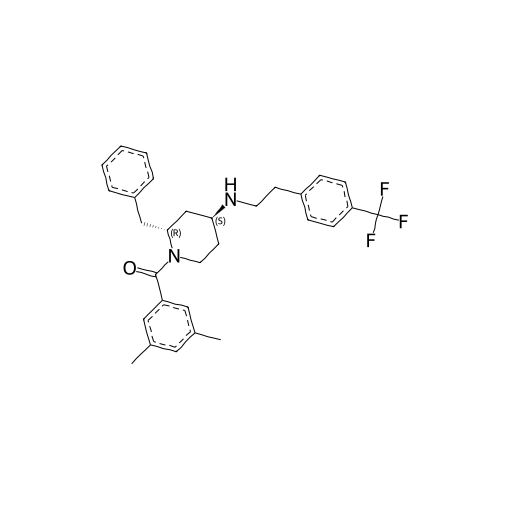 Cc1cc(C)cc(C(=O)N2CC[C@H](NCCc3ccc(C(F)(F)F)cc3)C[C@H]2Cc2ccccc2)c1